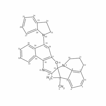 CC1(C)c2cccc3c2N(CCC3)C12C=Nc1c(cc(N3CCc4ccccc43)c3ccccc13)O2